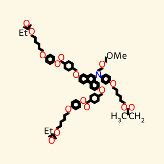 C=C(C)C(=O)OCCCCCCOc1ccc(N(CCOCCOC)c2cc3cc(OCC4CCC(C(=O)Oc5ccc(OCCCCCCOC6(CC)COC6)cc5)CC4)ccc3c3ccc(OCC4CCC(C(=O)Oc5ccc(OCCCCCCOC6(CC)COC6)cc5)CC4)cc23)cc1